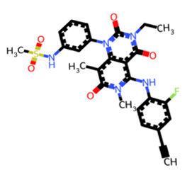 C#Cc1ccc(Nc2c3c(=O)n(CC)c(=O)n(-c4cccc(NS(C)(=O)=O)c4)c3c(C)c(=O)n2C)c(F)c1